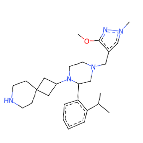 COc1nn(C)cc1CN1CCN(C2CC3(CCNCC3)C2)C(c2ccccc2C(C)C)C1